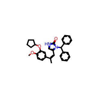 COc1ccc(/C(C)=C\c2c[nH]c(=O)n2C(c2ccccc2)c2ccccc2)cc1OC1CCCC1